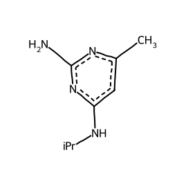 Cc1cc(NC(C)C)nc(N)n1